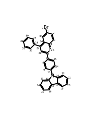 Brc1ccc2nc(-c3ccc(-n4c5ccccc5c5ccccc54)cc3)cc(-c3ccccc3)c2c1